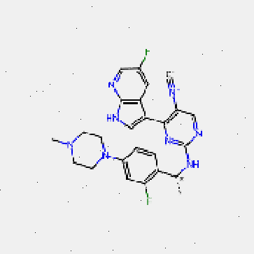 [C-]#[N+]c1cnc(N[C@H](C)c2ccc(N3CCN(C)CC3)cc2F)nc1-c1c[nH]c2ncc(F)cc12